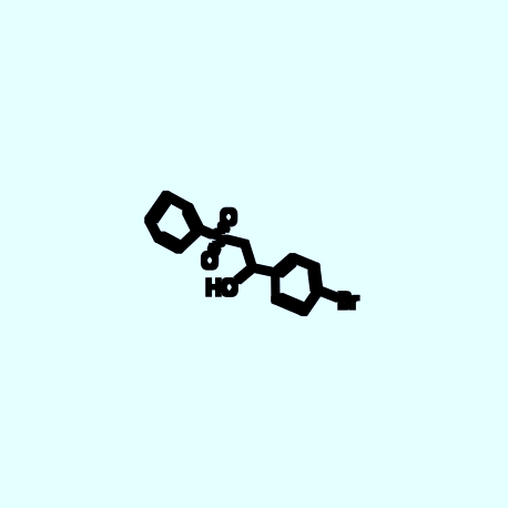 O=S(=O)(CC(O)c1ccc(Br)cc1)c1ccccc1